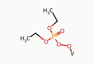 CCOP(=O)(OCC)O[O][V]